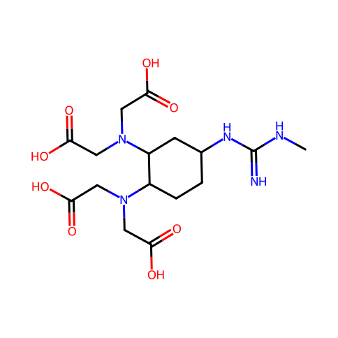 CNC(=N)NC1CCC(N(CC(=O)O)CC(=O)O)C(N(CC(=O)O)CC(=O)O)C1